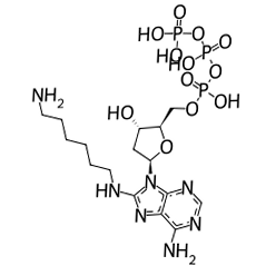 NCCCCCCNc1nc2c(N)ncnc2n1[C@H]1C[C@H](O)[C@@H](COP(=O)(O)OP(=O)(O)OP(=O)(O)O)O1